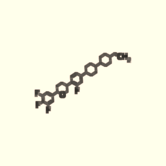 C=CC1CCC(C2CCC(c3ccc(C4CCC(c5cc(F)c(F)c(F)c5)OC4)c(F)c3)CC2)CC1